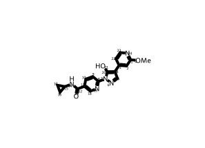 COc1cc(-c2cnn(-c3ccc(C(=O)NC4CC4)cn3)c2O)ccn1